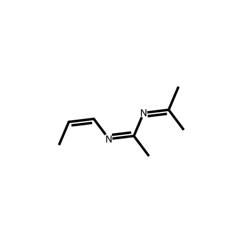 C/C=C\N=C(\C)N=C(C)C